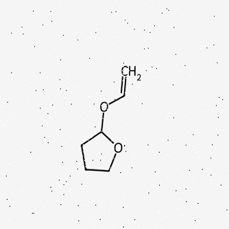 C=COC1CCCO1